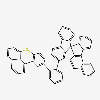 C1=CC2C=CC=C3c4cc(-c5ccccc5-c5ccc6c(c5)C5(c7ccccc7-6)c6ccccc6-c6c5ccc5ccccc65)ccc4SC(=C1)C32